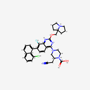 N#CC[C@H]1CN(c2nc(OCC34CCCN3CCC4)nc3c(F)c(-c4cccc5cccc(Cl)c45)ccc23)CCN1C(=O)O